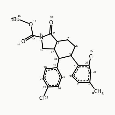 Cc1ccc(C2CCC3C(=O)N(C(=O)OC(C)(C)C)CC3C2c2ccc(Cl)cc2)c(Cl)c1